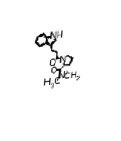 C=[N+](C)C(=O)[C@@H]1CCCN1C(=O)CCc1c[nH]c2ccccc12